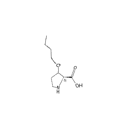 CCCCOC1CCN[C@@H]1C(=O)O